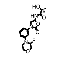 C[C@H](O)C(=O)NC1CN(c2cccc(N3CCOCC3F)c2)C(=O)O1